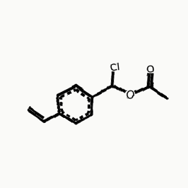 C=Cc1ccc(C(Cl)OC(C)=O)cc1